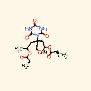 C=CC(=O)OC(C)CC(CO)(CC(C)OC(=O)C=C)n1c(=O)[nH]c(=O)[nH]c1=O